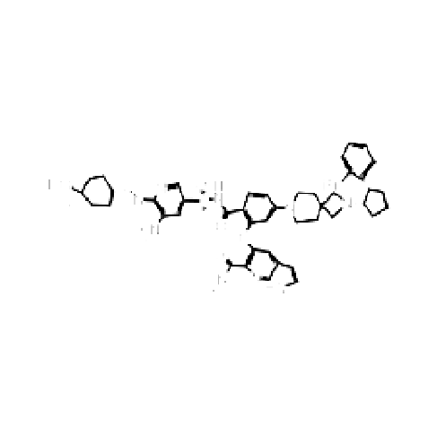 CC(C)c1ccccc1[C@@H]1CCC[C@@H]1N1CC2(CCN(c3ccc(C(=O)NS(=O)(=O)c4cnc(NC[C@H]5CC[C@](C)(O)CC5)c([N+](=O)[O-])c4)c(Oc4cc5cc[nH]c5nc4C(N)=O)c3)CC2)C1